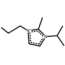 CCC[n+]1ccn(C(C)C)c1C